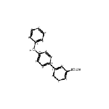 COC1=CC[CH]C(c2ccc(Oc3ccccc3)cc2)=C1